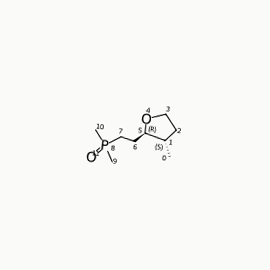 C[C@H]1CCO[C@@H]1CCP(C)(C)=O